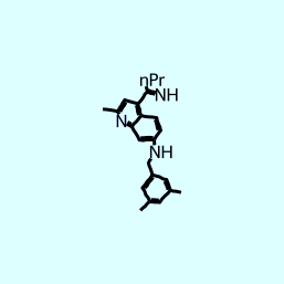 CCCC(=N)c1cc(C)nc2cc(NCc3cc(C)cc(C)c3)ccc12